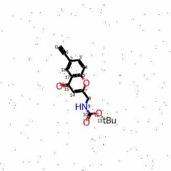 C#Cc1ccc2oc(CNC(=O)OC(C)(C)C)cc(=O)c2c1